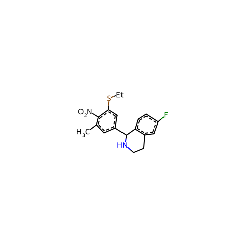 CCSc1cc(C2NCCc3cc(F)ccc32)cc(C)c1[N+](=O)[O-]